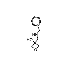 OC1(CNCc2ccccc2)COC1